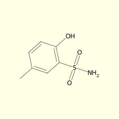 Cc1ccc(O)c(S(N)(=O)=O)c1